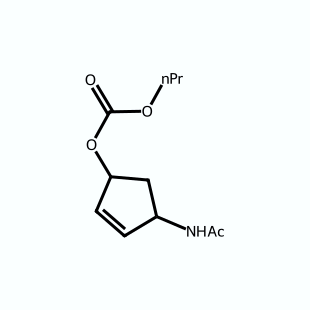 CCCOC(=O)OC1C=CC(NC(C)=O)C1